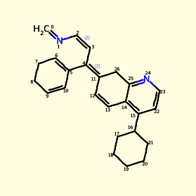 C=N/C=C\C(C1=CCCC=C1)=C1\C=Cc2c(C3CCCCC3)ccnc2C1